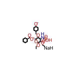 CCO[C@H]1O[C@H](COC(=O)c2ccccc2)[C@@H](OCc2ccc(OC)cc2)[C@H](NS(=O)(=O)O)[C@@H]1OCC.[NaH]